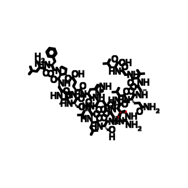 CC(C)C[C@H](NC(=O)CNC(=O)[C@@H](NC(=O)[C@H](C)NC(=O)[C@H](CCC(N)=O)NC(=O)[C@@H](NC(=O)[C@@H](NC(=O)[C@H](CCCNC(=N)N)NC(=O)[C@H](CO)NC(=O)[C@H](CC(C)C)NC(=O)[C@H](CC(C)C)NC(=O)[C@H](CC(=O)O)NC(=O)[C@H](Cc1c[nH]cn1)NC(=O)[C@H](CCC(=O)O)NC(=O)[C@H](CO)NC(=O)[C@H](C)NC(=O)CNC(=O)[C@@H]1CCCN1C(=O)[C@H](Cc1ccccc1)NC(=O)[C@@H](N)CC(C)C)C(C)C)C(C)C)C(C)C)C(=O)O